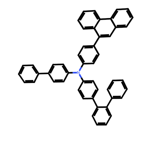 c1ccc(-c2ccc(N(c3ccc(-c4ccccc4-c4ccccc4)cc3)c3ccc(-c4cc5ccccc5c5ccccc45)cc3)cc2)cc1